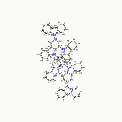 c1ccc2c(c1)c1ccccc1n2-c1cc(-n2c3ccccc3c3ccccc32)c2c(c1)c1ccccc1n2-c1ccc(-n2c3ccccc3c3cc(-n4c5ccccc5c5ccccc54)cc(-n4c5ccccc5c5ccccc54)c32)cc1